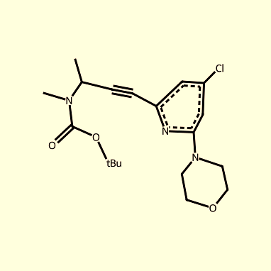 CC(C#Cc1cc(Cl)cc(N2CCOCC2)n1)N(C)C(=O)OC(C)(C)C